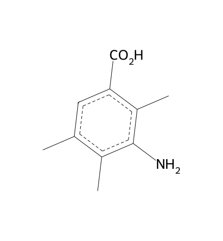 Cc1cc(C(=O)O)c(C)c(N)c1C